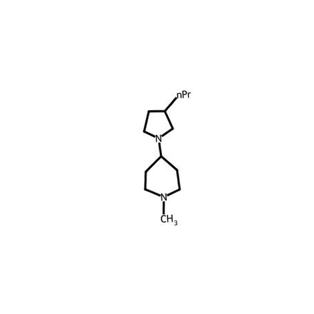 CCCC1CCN(C2CCN(C)CC2)C1